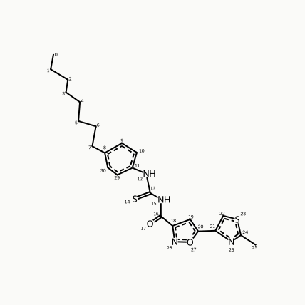 CCCCCCCCc1ccc(NC(=S)NC(=O)c2cc(-c3csc(C)n3)on2)cc1